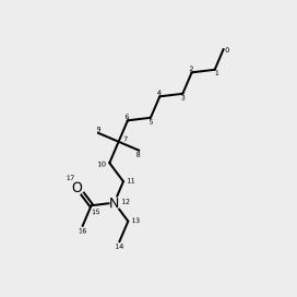 CCCCCCCC(C)(C)CCN(CC)C(C)=O